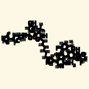 Cc1ncsc1-c1ccc(CNC(=O)[C@@H]2C[C@@H](O)CN2C(=O)[C@@H](NC(=O)CCCCCCn2cc(-c3cnc(N)c4c(-c5ccc(NS(=O)(=O)C(F)F)c(O[C@@H](C)c6ccc(F)cc6)c5)nn(C)c34)cn2)C(C)(C)C)cc1